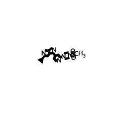 CS(=O)(=O)N1CCN(c2cc(C3=NCc4cnc(C5CC5)cc43)ccn2)CC1